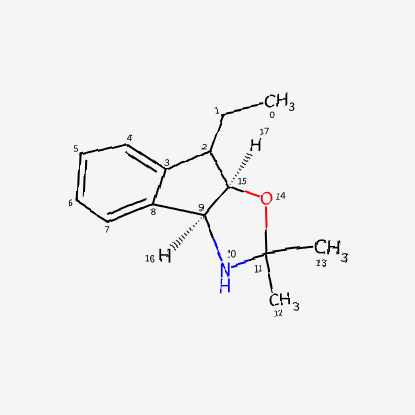 CCC1c2ccccc2[C@@H]2NC(C)(C)O[C@H]12